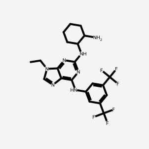 CCn1cnc2c(Nc3cc(C(F)(F)F)cc(C(F)(F)F)c3)nc(NC3CCCCC3N)nc21